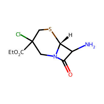 CCOC(=O)C1(Cl)CS[C@@H]2C(N)C(=O)N2C1